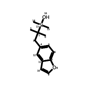 CC(C)(Cc1ccc2occc2c1)[Si](C)(C)O